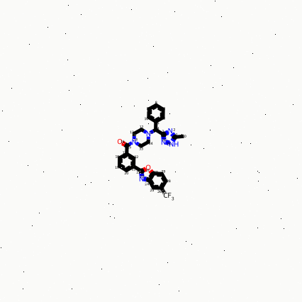 Cc1nc(C(c2ccccc2)N2CCN(C(=O)c3cccc(-c4nc5cc(C(F)(F)F)ccc5o4)c3)CC2)n[nH]1